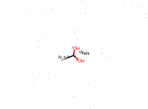 OC(O)[SiH3].[NaH]